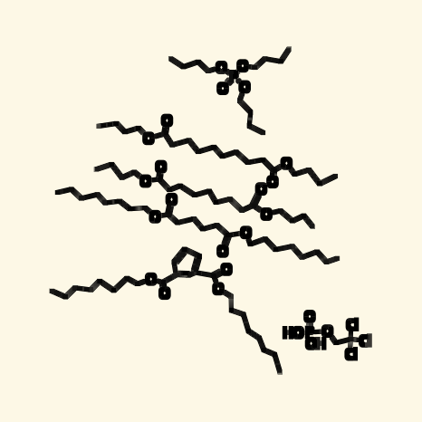 CCCCCCCCOC(=O)CCCCC(=O)OCCCCCCCC.CCCCCCCCOC(=O)c1cccc(C(=O)OCCCCCCCC)c1.CCCCOC(=O)CCCCCCCC(=O)OCCCC.CCCCOC(=O)CCCCCCCCC(=O)OCCCC.CCCCOP(=O)(OCCCC)OCCCC.O=P(O)(O)OCC(Cl)(Cl)Cl